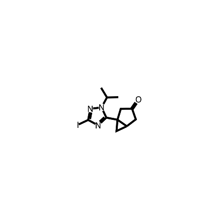 CC(C)n1nc(I)nc1C12CC(=O)CC1C2